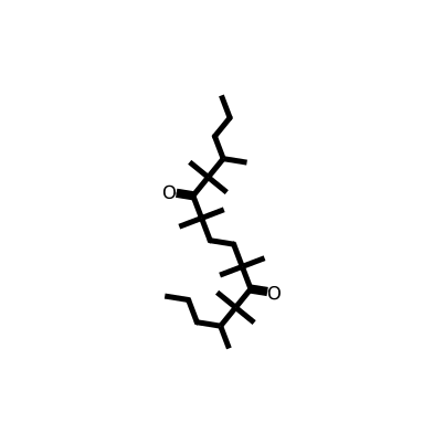 CCCC(C)C(C)(C)C(=O)C(C)(C)CCC(C)(C)C(=O)C(C)(C)C(C)CCC